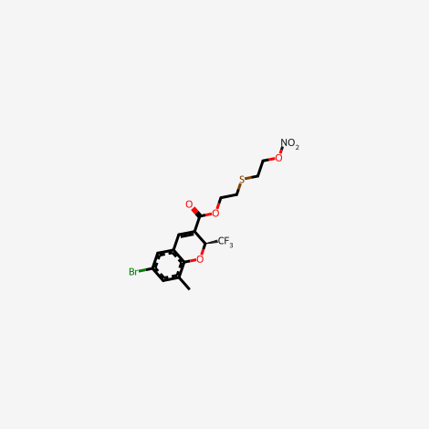 Cc1cc(Br)cc2c1O[C@H](C(F)(F)F)C(C(=O)OCCSCCO[N+](=O)[O-])=C2